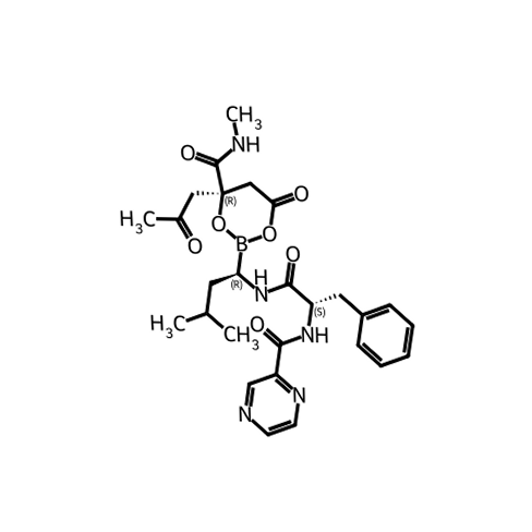 CNC(=O)[C@@]1(CC(C)=O)CC(=O)OB([C@H](CC(C)C)NC(=O)[C@H](Cc2ccccc2)NC(=O)c2cnccn2)O1